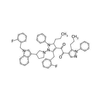 CCCc1c(C(=O)C(=O)C2=C(Cc3ccccc3F)N(N3CCC(c4cn(Cc5ccccc5F)c5ccccc45)C3)N(c3ccccc3)C2CCC)cnn1-c1ccccc1